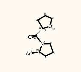 CC(=O)[C@@H]1CCCN1C(=O)[C@@H]1CCCO1